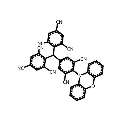 N#Cc1cc(C#N)c(C(c2cc(C#N)c(N3c4ccccc4Oc4ccccc43)c(C#N)c2)c2c(C#N)cc(C#N)cc2C#N)c(C#N)c1